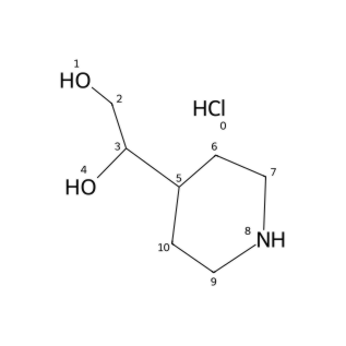 Cl.OCC(O)C1CCNCC1